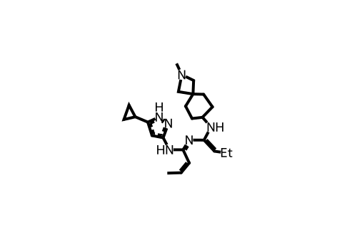 C\C=C/C(=N\C(=C\CC)NC1CCC2(CC1)CN(C)C2)Nc1cc(C2CC2)[nH]n1